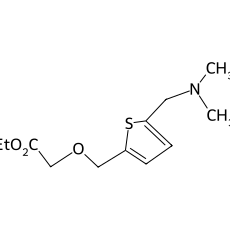 CCOC(=O)COCc1ccc(CN(C)C)s1